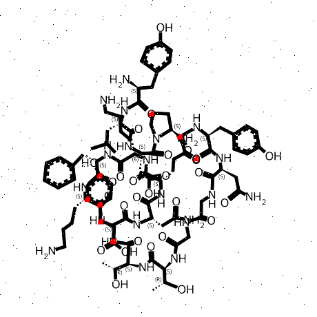 CC(C)C[C@H](NC(=O)[C@@H](N)Cc1ccc(O)cc1)C(=O)N[C@@H](CC(=O)O)C(=O)N1CCC[C@H]1C(=O)N[C@@H](Cc1ccc(O)cc1)C(=O)N[C@@H](CC(N)=O)C(=O)NCC(=O)NCC(=O)N[C@H](C(=O)N[C@H](C(=O)N[C@@H](Cc1ccc(O)cc1)C(=O)N[C@@H](CC(N)=O)C(=O)N[C@@H](CCC(N)=O)C(=O)N[C@@H](CCCCN)C(=O)N[C@@H](Cc1ccccc1)C(=O)N[C@@H](CCCCN)C(=O)NCC(=O)O)[C@@H](C)O)[C@@H](C)O